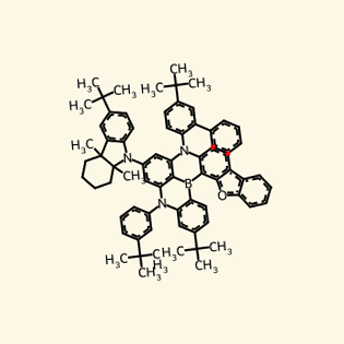 CC(C)(C)c1cccc(N2c3cc(C(C)(C)C)ccc3B3c4c2cc(N2c5ccc(C(C)(C)C)cc5C5(C)CCCCC25C)cc4N(c2ccc(C(C)(C)C)cc2-c2ccccc2)c2ccc4c(oc5ccccc54)c23)c1